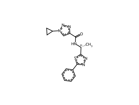 C[C@@H](NC(=O)c1cn(C2CC2)nn1)c1nnc(-c2ccccc2)s1